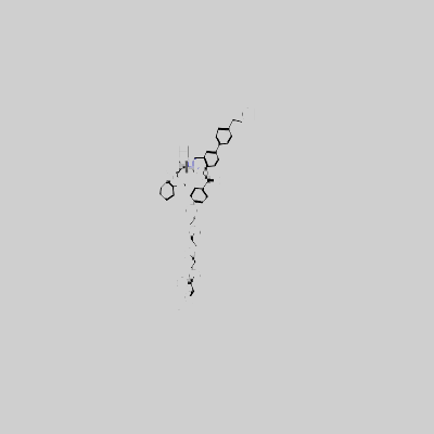 C=CC(=O)OCCOCCOCCOc1ccc(C(=O)Oc2ccc(-c3ccc(CCC)cc3)cc2/C=N/Nc2nc3c(s2)CCC=C3)cc1